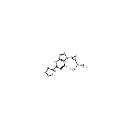 CN(C)C1CC1n1ccc2cc(N3CCCC3)ccc21